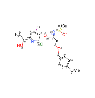 COc1ccc(COCC/C(COc2c(I)cc(C(O)C(F)(F)F)nc2Cl)=N\[S+]([O-])C(C)(C)C)cc1